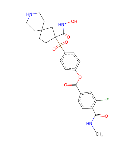 CNC(=O)c1ccc(C(=O)Oc2ccc(S(=O)(=O)C3(C(=O)NO)CCC4(CCNCC4)C3)cc2)cc1F